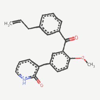 C=CCc1cccc(C(=O)c2cc(-c3ccc[nH]c3=O)ccc2OC)c1